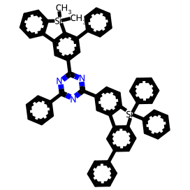 C[Si]1(C)c2ccccc2-c2cc(-c3nc(-c4ccccc4)nc(-c4ccc5c(c4)-c4cc(-c6ccccc6)ccc4[Si]5(c4ccccc4)c4ccccc4)n3)cc(-c3ccccc3)c21